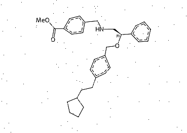 COC(=O)c1ccc(CNC[C@H](OCc2ccc(CCC3CCCC3)cc2)c2ccccc2)cc1